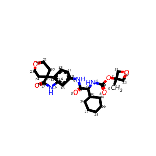 CC1(OC(=O)NC(C(=O)Nc2ccc3c(c2)NC(=O)C32CCOCC2)C2CCCCC2)COC1